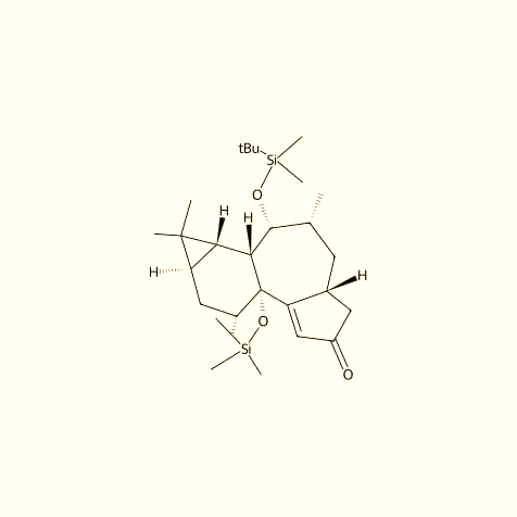 C[C@@H]1C[C@@H]2CC(=O)C=C2[C@]2(O[Si](C)(C)C)[C@@H]([C@@H]1O[Si](C)(C)C(C)(C)C)[C@@H]1[C@@H](C[C@H]2C)C1(C)C